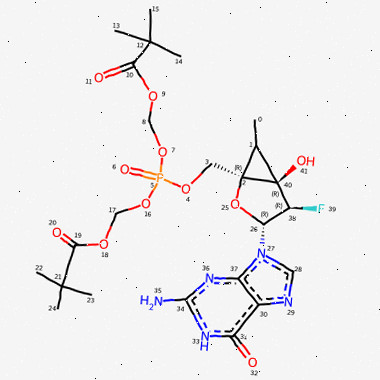 CC1[C@]2(COP(=O)(OCOC(=O)C(C)(C)C)OCOC(=O)C(C)(C)C)O[C@@H](n3cnc4c(=O)[nH]c(N)nc43)[C@H](F)[C@@]12O